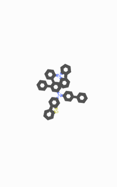 c1ccc(-c2ccc(N(c3ccc(-c4ccccc4-n4c5ccccc5c5ccccc54)c(-c4ccccc4)c3)c3ccc4c(c3)sc3ccccc34)cc2)cc1